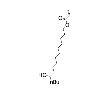 C=CC(=O)OCCCCCCCCCCC(O)CCCC